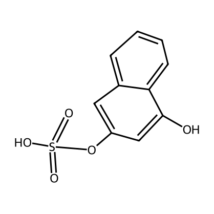 O=S(=O)(O)Oc1cc(O)c2ccccc2c1